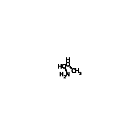 CO.NO